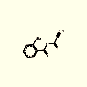 C#CC(=O)OC(=O)c1ccccc1C(C)(C)C